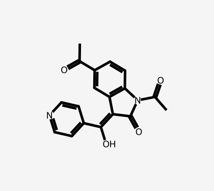 CC(=O)c1ccc2c(c1)/C(=C(/O)c1ccncc1)C(=O)N2C(C)=O